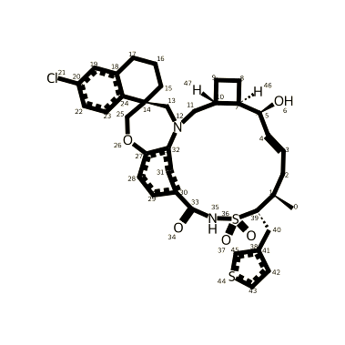 C[C@@H]1C/C=C/[C@H](O)[C@@H]2CC[C@H]2CN2C[C@@]3(CCCc4cc(Cl)ccc43)COc3ccc(cc32)C(=O)NS(=O)(=O)[C@H]1Cc1ccsc1